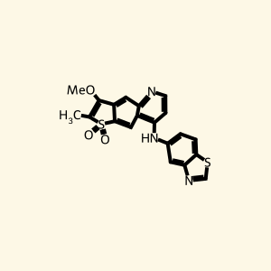 COC1=C(C)S(=O)(=O)c2cc3c(Nc4ccc5scnc5c4)ccnc3cc21